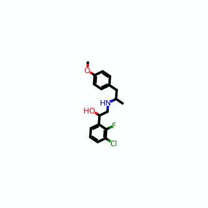 COc1ccc(CC(C)NCC(O)c2cccc(Cl)c2F)cc1